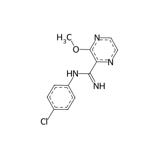 COc1nccnc1C(=N)Nc1ccc(Cl)cc1